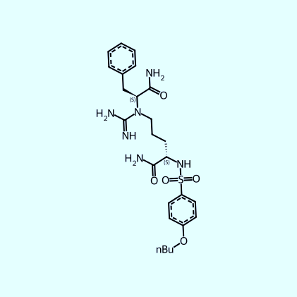 CCCCOc1ccc(S(=O)(=O)N[C@@H](CCCN(C(=N)N)[C@@H](Cc2ccccc2)C(N)=O)C(N)=O)cc1